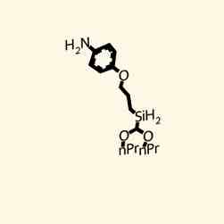 CCCOC(OCCC)[SiH2]CCCOc1ccc(N)cc1